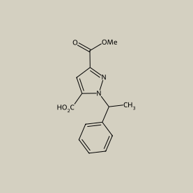 COC(=O)c1cc(C(=O)O)n(C(C)c2ccccc2)n1